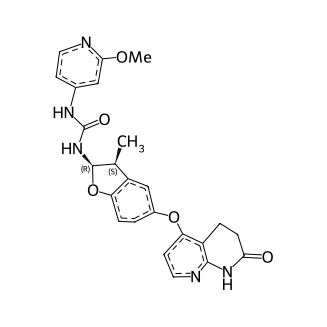 COc1cc(NC(=O)N[C@@H]2Oc3ccc(Oc4ccnc5c4CCC(=O)N5)cc3[C@@H]2C)ccn1